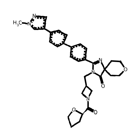 Cn1cc(-c2ccc(-c3ccc(C4=NC5(CCOCC5)C(=O)N4CC4CN(C(=O)[C@H]5CCCO5)C4)cc3)cc2)cn1